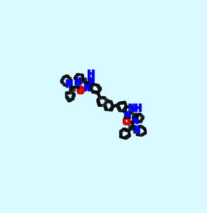 O=C([C@@H](c1ccccc1)N1CCCCC1)N1CCC[C@H]1c1nc2cc(-c3ccc4ccc(-c5ccc6[nH]c([C@@H]7CCCN7C(=O)[C@@H](c7ccccc7)N7CCCCC7)nc6c5)cc4c3)ccc2[nH]1